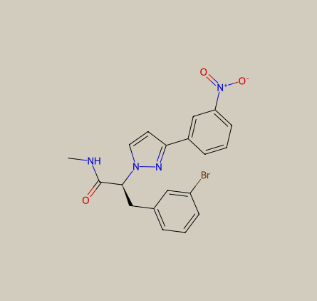 CNC(=O)[C@H](Cc1cccc(Br)c1)n1ccc(-c2cccc([N+](=O)[O-])c2)n1